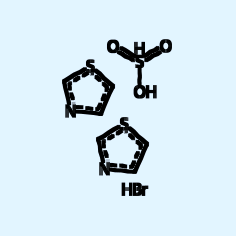 Br.O=[SH](=O)O.c1cscn1.c1cscn1